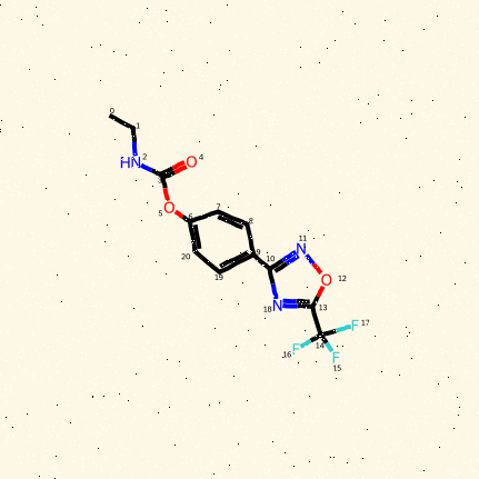 CCNC(=O)Oc1ccc(-c2noc(C(F)(F)F)n2)cc1